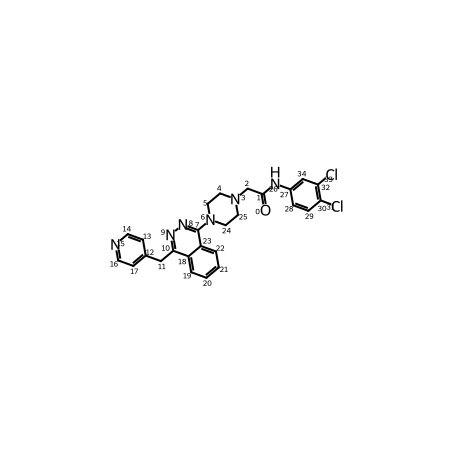 O=C(CN1CCN(c2nnc(Cc3ccncc3)c3ccccc23)CC1)Nc1ccc(Cl)c(Cl)c1